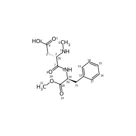 CN[C@@H](CC(=O)O)C(=O)N[C@@H](Cc1ccccc1)C(=O)OC